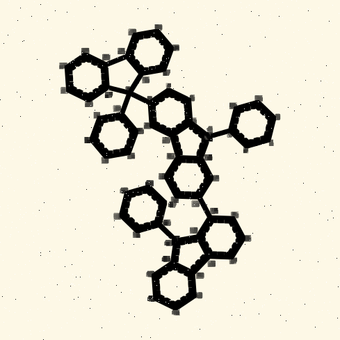 c1ccc(-n2c3ccc(C4(c5ccccc5)c5ccccc5-c5ccccc54)cc3c3ccc(-c4cccc5c6ccccc6n(-c6ccccc6)c45)cc32)cc1